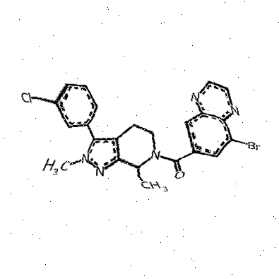 CC1c2nn(C)c(-c3cccc(Cl)c3)c2CCN1C(=O)c1cc(Br)c2nccnc2c1